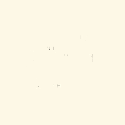 Cc1ccccc1NCCOc1cc(O)c2c(c1N)C(=O)c1ccccc1C2=O